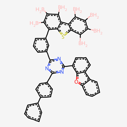 Bc1c(B)c(B)c2c(sc3c(-c4cccc(-c5nc(-c6ccc(-c7ccccc7)cc6)nc(-c6cccc7c6oc6ccccc67)n5)c4)c(B)c(B)c(B)c32)c1B